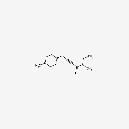 CCC(C)C(=O)C#CCN1CCN(C)CC1